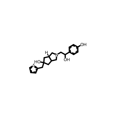 Oc1ccc(C(O)CN2CC3CC(O)(Cc4cccs4)C[C@@H]3C2)cc1